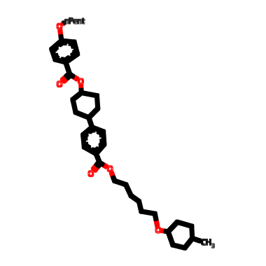 CCCCCOc1ccc(C(=O)OC2CCC(c3ccc(C(=O)OCCCCCCOC4CCC(C)CC4)cc3)CC2)cc1